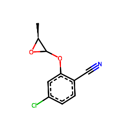 C[C@@H]1OC1Oc1cc(Cl)ccc1C#N